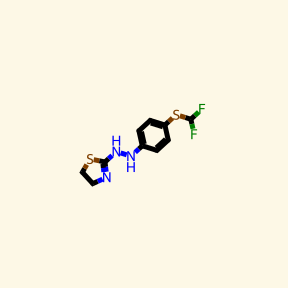 FC(F)Sc1ccc(NNC2=NCCS2)cc1